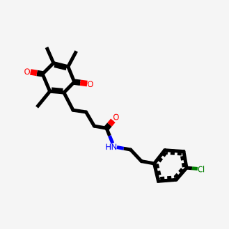 CC1=C(C)C(=O)C(CCCC(=O)NCCc2ccc(Cl)cc2)=C(C)C1=O